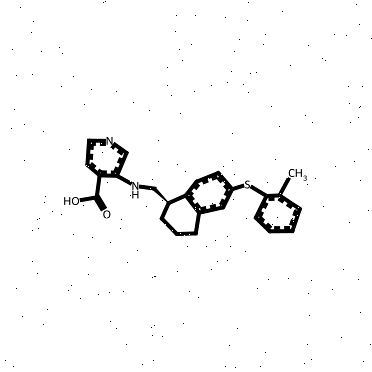 Cc1ccccc1Sc1ccc2c(c1)CCC[C@H]2CNc1cnccc1C(=O)O